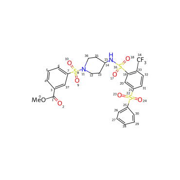 COC(=O)c1cccc(S(=O)(=O)N2CCC(NS(=O)(=O)c3cc(S(=O)(=O)c4ccccc4)ccc3C(F)(F)F)CC2)c1